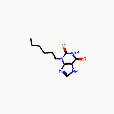 CCCCCCn1c(=O)[nH]c(=O)c2[nH]cnc21